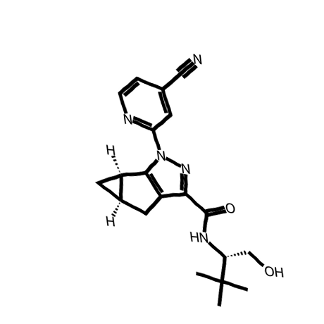 CC(C)(C)[C@@H](CO)NC(=O)c1nn(-c2cc(C#N)ccn2)c2c1C[C@H]1C[C@@H]21